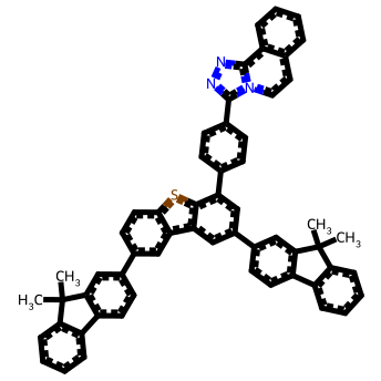 CC1(C)c2ccccc2-c2ccc(-c3ccc4sc5c(-c6ccc(-c7nnc8c9ccccc9ccn78)cc6)cc(-c6ccc7c(c6)C(C)(C)c6ccccc6-7)cc5c4c3)cc21